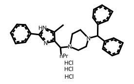 CCCC(c1nc(-c2ccccc2)[nH]c1C)N1CCN(C(c2ccccc2)c2ccccc2)CC1.Cl.Cl.Cl